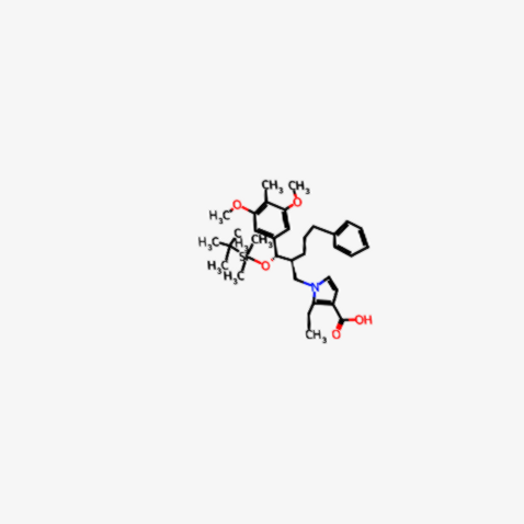 CCc1c(C(=O)O)ccn1C[C@H](CCCc1ccccc1)[C@H](O[Si](C)(C)C(C)(C)C)c1cc(OC)c(C)c(OC)c1